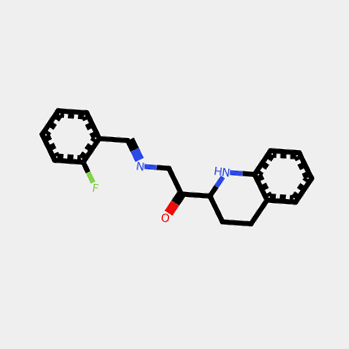 O=C(C/N=C/c1ccccc1F)C1CCc2ccccc2N1